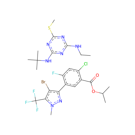 CC(C)OC(=O)c1cc(-c2nn(C)c(C(F)(F)F)c2Br)c(F)cc1Cl.CCNc1nc(NC(C)(C)C)nc(SC)n1